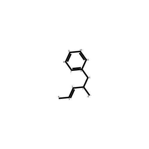 [CH2]C(C=CC)Cc1ccccc1